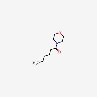 C[CH]CCCC(=O)N1CCOCC1